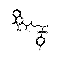 CC(NCCN(C)S(=O)(=O)c1ccc(Cl)cc1)c1nc2ccccc2c(=O)n1C